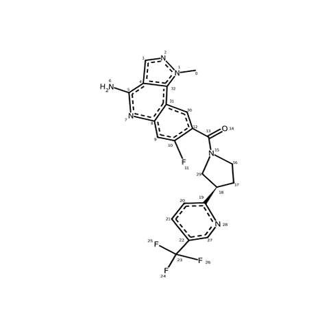 Cn1ncc2c(N)nc3cc(F)c(C(=O)N4CC[C@@H](c5ccc(C(F)(F)F)cn5)C4)cc3c21